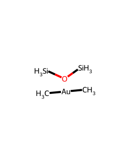 [CH3][Au][CH3].[SiH3]O[SiH3]